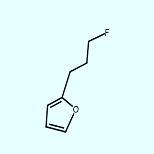 FCCCc1ccco1